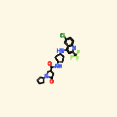 O=C(NC1CCC(Nc2cc(C(F)(F)F)nc3ccc(Cl)cc23)CC1)C1CC(=O)N(C2CCCC2)C1